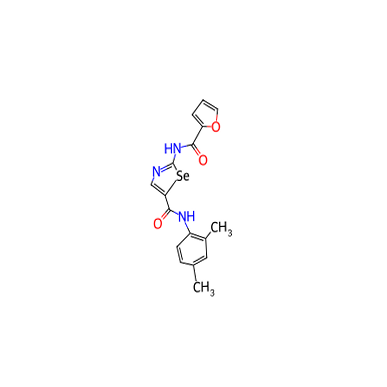 Cc1ccc(NC(=O)c2cnc(NC(=O)c3ccco3)[se]2)c(C)c1